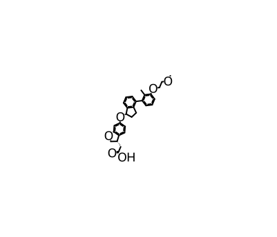 COCCOc1cccc(-c2cccc3c2CC[C@H]3Oc2ccc3c(c2)OC[C@H]3CC(=O)O)c1C